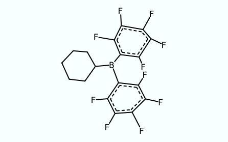 Fc1c(F)c(F)c(B(c2c(F)c(F)c(F)c(F)c2F)C2CCCCC2)c(F)c1F